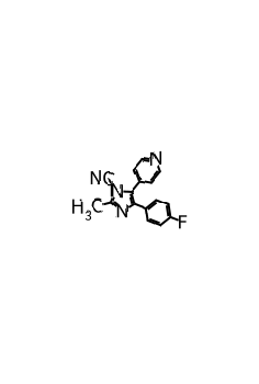 Cc1nc(-c2ccc(F)cc2)c(-c2ccncc2)n1C#N